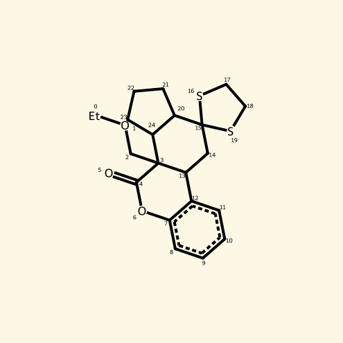 CCOCC12C(=O)Oc3ccccc3C1CC1(SCCS1)C1CCCC12